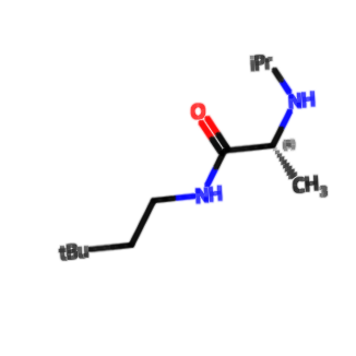 CC(C)N[C@H](C)C(=O)NCCC(C)(C)C